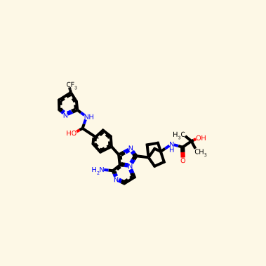 CC(C)(O)C(=O)NC12CCC(c3nc(-c4ccc(C(O)Nc5cc(C(F)(F)F)ccn5)cc4)c4c(N)nccn34)(CC1)C2